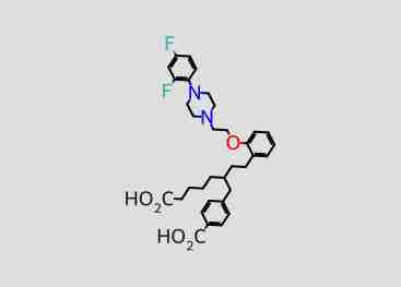 O=C(O)CCCCC(CCc1ccccc1OCCN1CCN(c2ccc(F)cc2F)CC1)Cc1ccc(C(=O)O)cc1